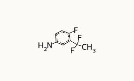 CC(F)(F)c1cc(N)ccc1F